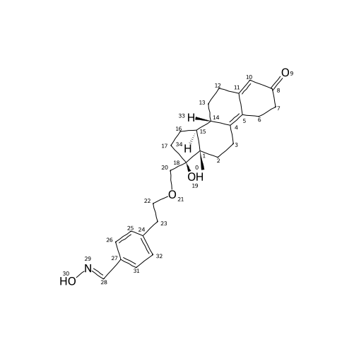 C[C@]12CCC3=C4CCC(=O)C=C4CC[C@H]3[C@@H]1CC[C@@]2(O)COCCc1ccc(C=NO)cc1